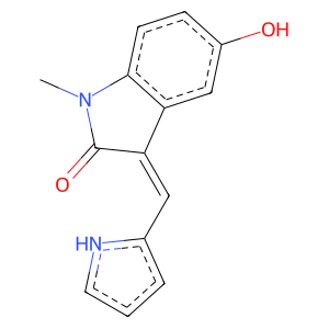 CN1C(=O)C(=Cc2ccc[nH]2)c2cc(O)ccc21